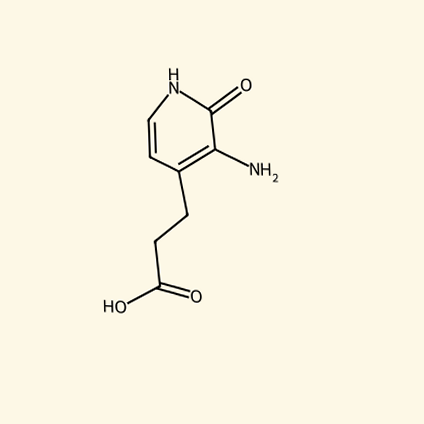 Nc1c(CCC(=O)O)cc[nH]c1=O